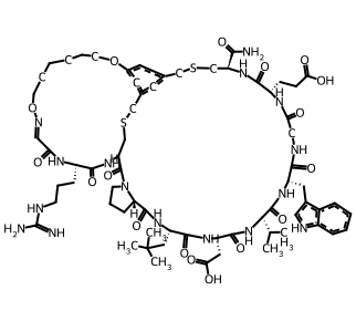 CC(C)[C@@H]1NC(=O)[C@H](CC(=O)O)NC(=O)[C@H](CC(C)(C)C)NC(=O)[C@@H]2CCCN2C(=O)[C@@H]2CSCc3cc(cc(c3)OCCCCCCO/N=C/C(=O)N[C@@H](CCCNC(=N)N)C(=O)N2)CSC[C@@H](C(N)=O)NC(=O)[C@H](CCC(=O)O)NC(=O)CNC(=O)[C@H](Cc2c[nH]c3ccccc23)NC1=O